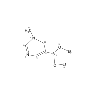 CCOB(OCC)C1=CN=CN(C)C1